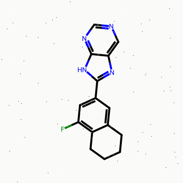 Fc1cc(-c2nc3cncnc3[nH]2)cc2c1CCCC2